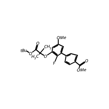 COC(=O)c1ccc(-c2cc(OC)cc(OC(C)(C)C(=O)OC(C)(C)C)c2F)cc1